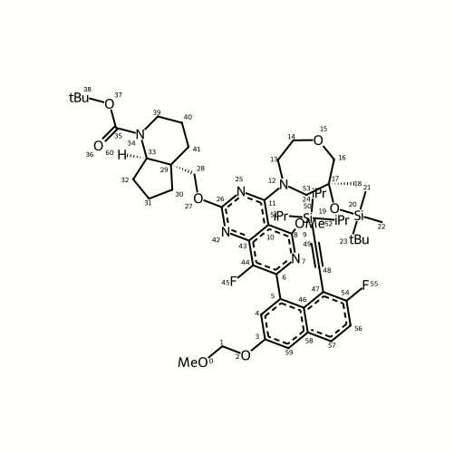 COCOc1cc(-c2nc(OC)c3c(N4CCOC[C@@](C)(O[Si](C)(C)C(C)(C)C)C4)nc(OC[C@]45CCC[C@H]4N(C(=O)OC(C)(C)C)CCC5)nc3c2F)c2c(C#C[Si](C(C)C)(C(C)C)C(C)C)c(F)ccc2c1